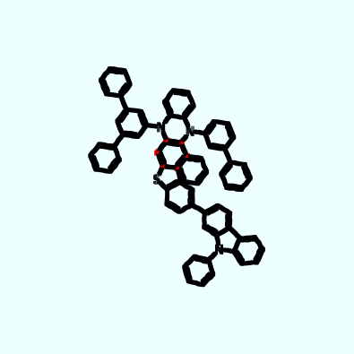 c1ccc(-c2cccc(N(c3ccc4sc5ccc(-c6ccc7c8ccccc8n(-c8ccccc8)c7c6)cc5c4c3)c3ccccc3N(c3cc(-c4ccccc4)cc(-c4ccccc4)c3)c3ccc4ccccc4c3)c2)cc1